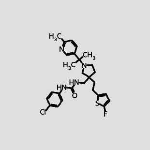 Cc1ccc(C(C)(C)N2CCC(CCc3ccc(F)s3)(CNC(=O)Nc3ccc(Cl)cc3)C2)cn1